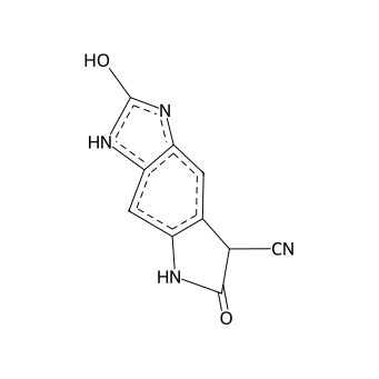 N#CC1C(=O)Nc2cc3[nH]c(O)nc3cc21